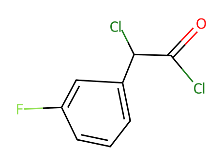 O=C(Cl)C(Cl)c1cccc(F)c1